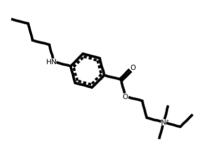 CCCCNc1ccc(C(=O)OCC[N+](C)(C)CC)cc1